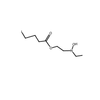 CCN(O)CCOC(=O)CCCI